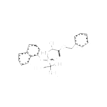 C[C@H](NP(=O)(Oc1cccc2ccccc12)C(C)(C)N)C(=S)OCc1ccccc1